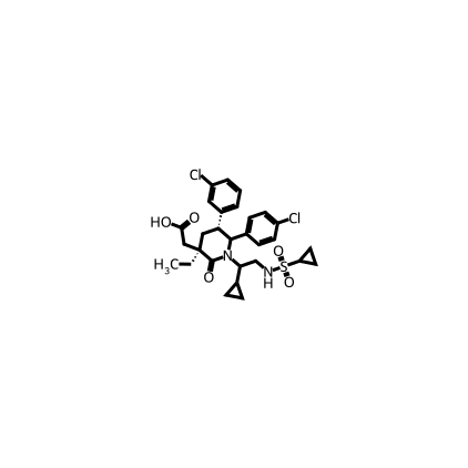 CC[C@]1(CC(=O)O)C[C@H](c2cccc(Cl)c2)C(c2ccc(Cl)cc2)N(C(CNS(=O)(=O)C2CC2)C2CC2)C1=O